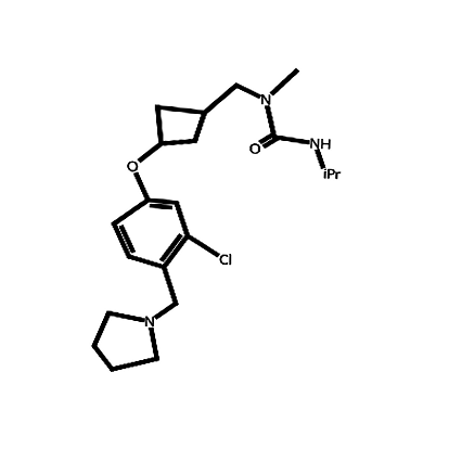 CC(C)NC(=O)N(C)CC1CC(Oc2ccc(CN3CCCC3)c(Cl)c2)C1